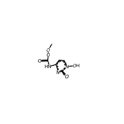 COOC(=O)Nc1ccn(O)c(=O)n1